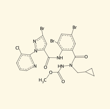 COC(=O)NN(CC1CC1)C(=O)c1cc(Br)cc(Br)c1NC(=O)c1cc(Br)nn1-c1ncccc1Cl